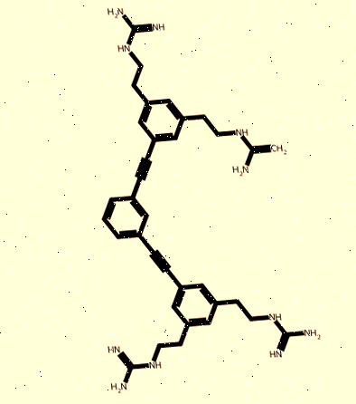 C=C(N)NCCc1cc(C#Cc2cccc(C#Cc3cc(CCNC(=N)N)cc(CCNC(=N)N)c3)c2)cc(CCNC(=N)N)c1